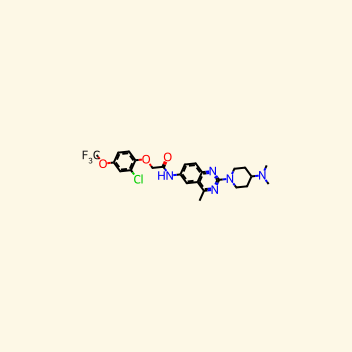 Cc1nc(N2CCC(N(C)C)CC2)nc2ccc(NC(=O)COc3ccc(OC(F)(F)F)cc3Cl)cc12